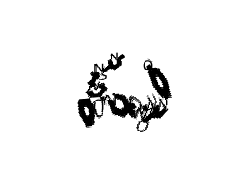 COc1cccc(-n2ccc3c(=O)n(CC4(O)CCN(C(=O)[C@@H]5CCN(Cc6cnc(-c7ccc(C)nc7)s6)C[C@H]5c5ccccc5)CC4)cnc32)c1